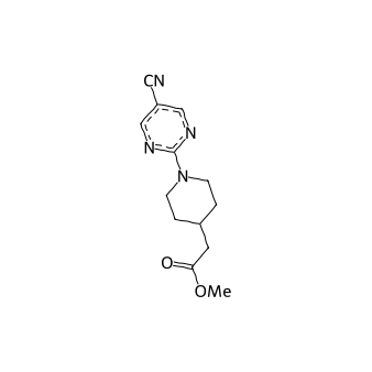 COC(=O)CC1CCN(c2ncc(C#N)cn2)CC1